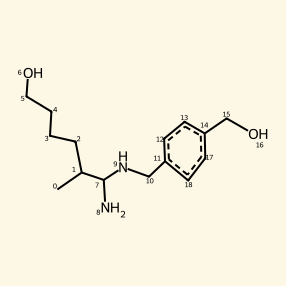 CC(CCCCO)C(N)NCc1ccc(CO)cc1